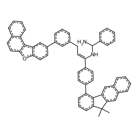 CC1(C)c2cc3ccccc3cc2-c2c(-c3ccc(/C(=C/Cc4cccc(-c5ccc6oc7ccc8ccccc8c7c6c5)c4)NC(N)c4ccccc4)cc3)cccc21